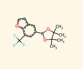 CC1(C)OB(c2cc(C(F)(F)F)c3occc3c2)OC1(C)C